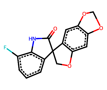 O=C1Nc2c(F)cccc2C12COc1cc3c(cc12)OCO3